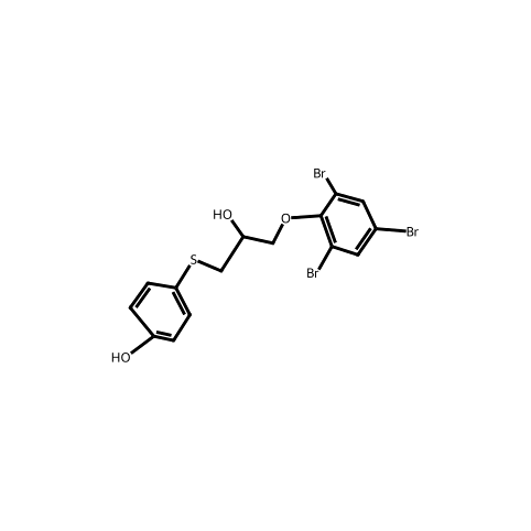 Oc1ccc(SCC(O)COc2c(Br)cc(Br)cc2Br)cc1